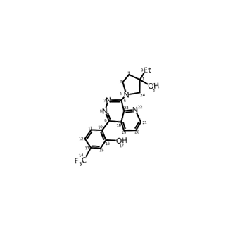 CCC1(O)CCN(c2nnc(-c3ccc(C(F)(F)F)cc3O)c3cccnc23)C1